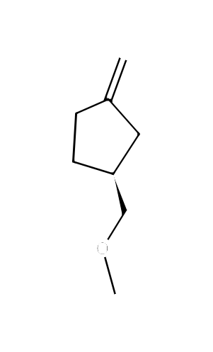 C=C1CC[C@H](COC)C1